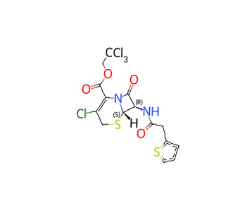 O=C(Cc1cccs1)N[C@@H]1C(=O)N2C(C(=O)OCC(Cl)(Cl)Cl)=C(Cl)CS[C@@H]12